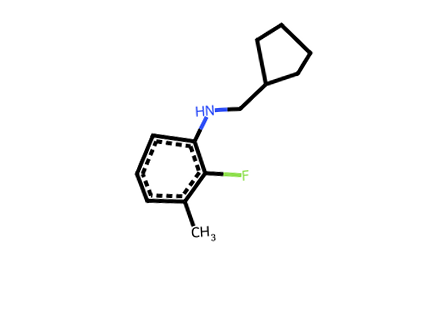 Cc1cccc(NCC2CCCC2)c1F